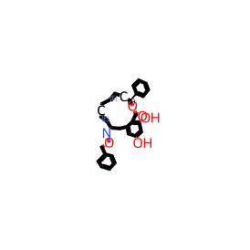 O=C1O[C@H](c2ccccc2)C/C=C/CC/C=C/C(=NOCc2ccccc2)Cc2cc(O)cc(O)c21